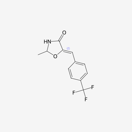 CC1NC(=O)/C(=C/c2ccc(C(F)(F)F)cc2)O1